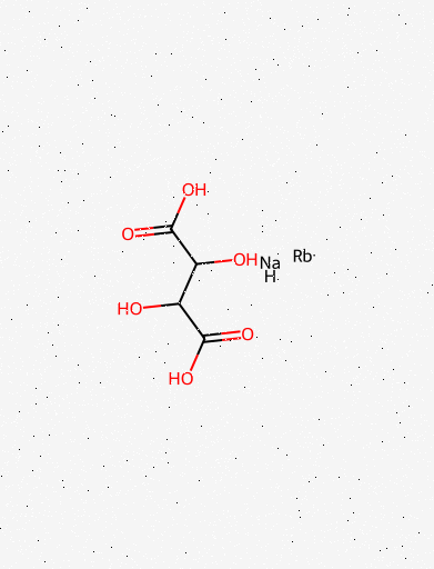 O=C(O)C(O)C(O)C(=O)O.[NaH].[Rb]